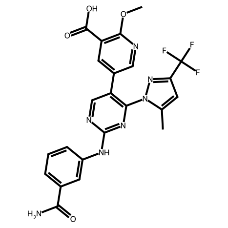 COc1ncc(-c2cnc(Nc3cccc(C(N)=O)c3)nc2-n2nc(C(F)(F)F)cc2C)cc1C(=O)O